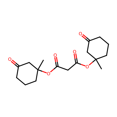 CC1(OC(=O)CC(=O)OC2(C)CCCC(=O)C2)CCCC(=O)C1